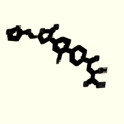 O=C(O)[C@H](O)CC(=O)N1CC=C(c2ccc(N3C[C@H](COc4ccon4)OC3=O)cc2F)CC1